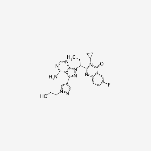 CC[C@@H](c1nc2ccc(F)cc2c(=O)n1C1CC1)n1nc(-c2cnn(CCO)c2)c2c(N)ncnc21